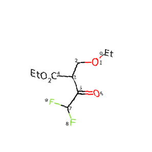 CCOCC(C(=O)OCC)C(=O)C(F)F